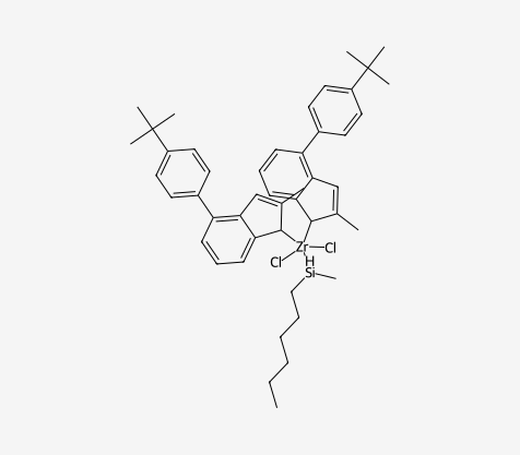 CCCCCC[SiH](C)[Zr]([Cl])([Cl])([CH]1C(C)=Cc2c(-c3ccc(C(C)(C)C)cc3)cccc21)[CH]1C(C)=Cc2c(-c3ccc(C(C)(C)C)cc3)cccc21